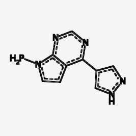 Pn1ccc2c(-c3cn[nH]c3)ncnc21